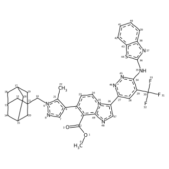 COC(=O)c1c(-c2cnn(CC34CC5CC(CC(C5)C3)C4)c2C)ccn2c(-c3cc(C(F)(F)F)c(Nc4nc5ccccc5s4)nn3)cnc12